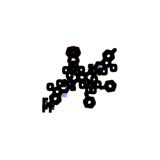 Cc1ccc2c(c1)C(=O)C(=O)/C2=C\c1nc2c(s1)-c1cc3c(cc1C(C(=O)OCc1ccccc1)(C(=O)OCc1ccccc1)O2)-c1sc(/C=C2\C(=O)C(=O)c4cc(C(F)(F)F)ccc42)nc1OC3(C(=O)OCc1ccccc1)C(=O)OCc1ccccc1